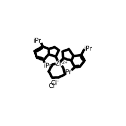 CC(C)C1=CC=C(C(C)C)C2C1CC[CH]2[Zr+2]1([CH]2CCC3C(C(C)C)=CC=C(C(C)C)C32)[CH2]CCCC[CH2]1.[Cl-].[Cl-]